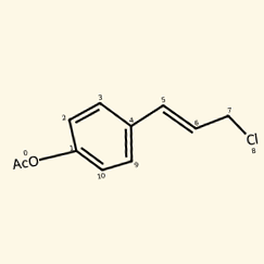 CC(=O)Oc1ccc(C=CCCl)cc1